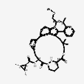 CO[C@@H](C)c1ncccc1-c1c2c3cc(ccc3n1CCOC(C)C)-c1csc(n1)C[C@H](NC(=O)[C@H]1[C@H](C)[C@@H]1C)C(=O)N1CCC[C@H](N1)C(=O)OCC(C)(C)C2